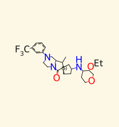 CCOC1COCCC1NC1CC[C@@]2(C1)C(=O)N1CCN(c3cccc(C(F)(F)F)c3)CC1C2C